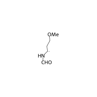 COCC[CH]NC=O